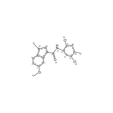 COc1ccc2c(c1)c(C(=O)Nc1cc(Cl)c(C)cc1Cl)cn2C